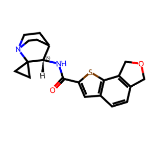 O=C(N[C@H]1C2CCN(CC2)C12CC2)c1cc2ccc3c(c2s1)COC3